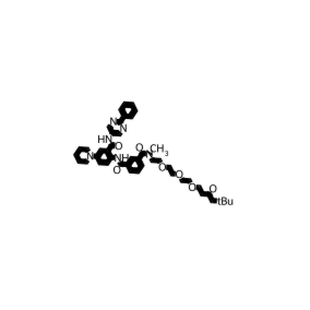 CN(CCOCCOCCOCCC(=O)CC(C)(C)C)C(=O)c1cccc(C(=O)Nc2ccc(N3CCCCC3)cc2C(=O)Nc2cnc(-c3ccccc3)nc2)c1